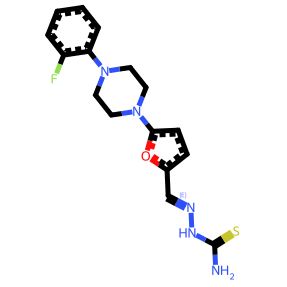 NC(=S)N/N=C/c1ccc(N2CCN(c3ccccc3F)CC2)o1